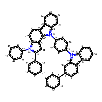 c1ccc(-c2ccc3c4ccccc4n(-c4ccc(-n5c6ccccc6c6ccc7c(cc(-c8ccccc8)n7-c7ccccc7)c65)cc4)c3c2)cc1